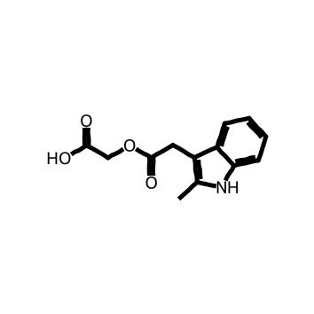 Cc1[nH]c2ccccc2c1CC(=O)OCC(=O)O